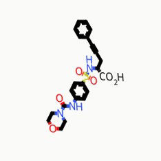 O=C(O)C(CC#Cc1ccccc1)NS(=O)(=O)c1ccc(NC(=O)N2CCOCC2)cc1